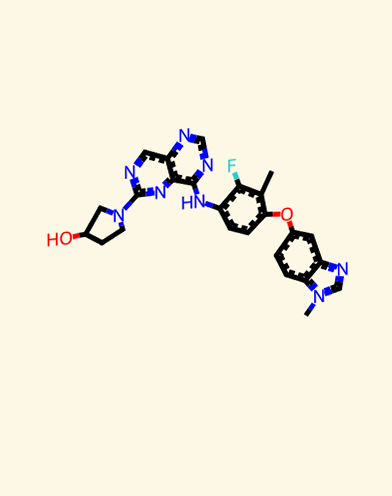 Cc1c(Oc2ccc3c(c2)ncn3C)ccc(Nc2ncnc3cnc(N4CCC(O)C4)nc23)c1F